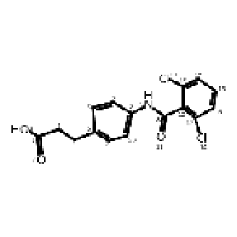 O=C(O)CCc1ccc(NC(=O)c2c(Cl)cccc2Cl)cc1